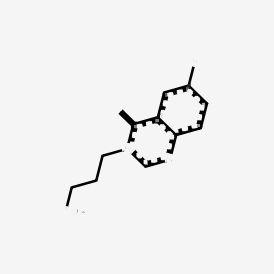 COCCCn1cnc2ccc([N+](=O)[O-])cc2c1=O